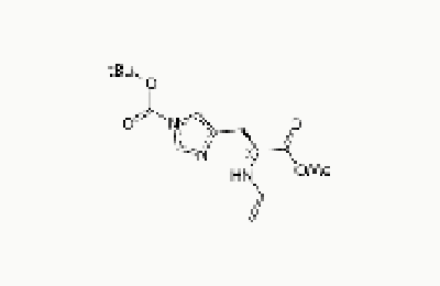 C=CN[C@@H](Cc1cn(C(=O)OC(C)(C)C)cn1)C(=O)OC